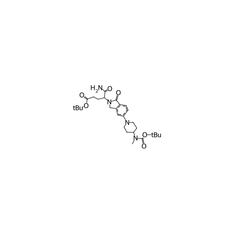 CN(C(=O)OC(C)(C)C)C1CCN(c2ccc3c(c2)CN(C(CCC(=O)OC(C)(C)C)C(N)=O)C3=O)CC1